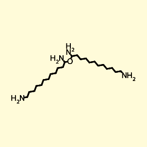 NCCCCCCCCCCCC(N)OC(N)CCCCCCCCCCCN